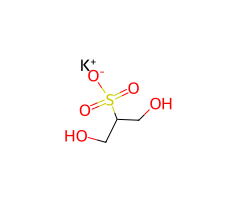 O=S(=O)([O-])C(CO)CO.[K+]